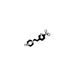 O=[N+]([O-])c1ccc(CCN2CCNCC2)cn1